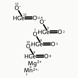 [Mg+2].[Mn+2].[O]=[GeH][O-].[O]=[GeH][O-].[O]=[GeH][O-].[O]=[GeH][O-]